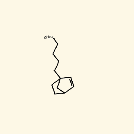 CCCCCCCCC[CH]C12C=CC(CC1)C2